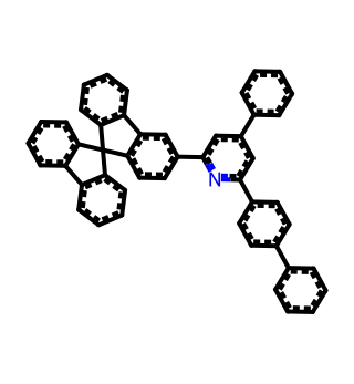 c1ccc(-c2ccc(-c3cc(-c4ccccc4)cc(-c4ccc5c(c4)-c4ccccc4C54c5ccccc5-c5ccccc54)n3)cc2)cc1